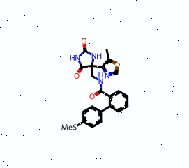 CSc1ccc(-c2ccccc2C(=O)NCC2(c3ncsc3C)NC(=O)NC2=O)cc1